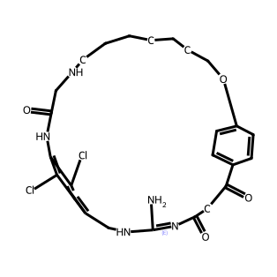 N/C1=N\C(=O)CC(=O)c2ccc(cc2)OCCCCCCCNCC(=O)Nc2c(Cl)cc(cc2Cl)CN1